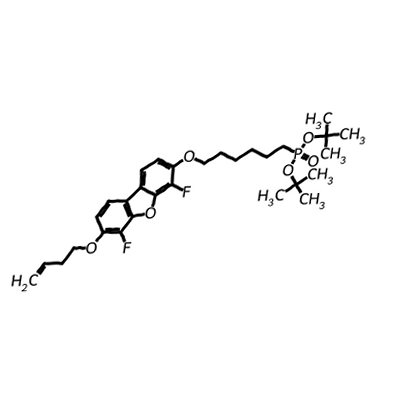 C=CCCOc1ccc2c(oc3c(F)c(OCCCCCCP(=O)(OC(C)(C)C)OC(C)(C)C)ccc32)c1F